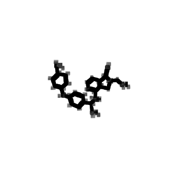 CCN1Cc2c(ccnc2N[C@@H](C)c2ccc(Oc3ccc(C)cc3)cc2)C1=O